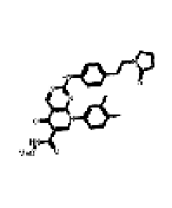 CONC(=O)c1cn(-c2ccc(C)c(C)c2)c2nc(Nc3ccc(CCN4CCCC4=O)cc3)ncc2c1=O